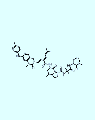 CC(C)=C/C=C(\C=C\N1Cc2cnc(Nc3ccc(C)nc3)nc2N(C)C1=O)C(=O)N[C@H]1CC(C)C2CC[C@@H](C(=O)NC(C)(C)C(=O)N[C@@H](CC(C)C)C(=O)N(C)C)N2C1=O